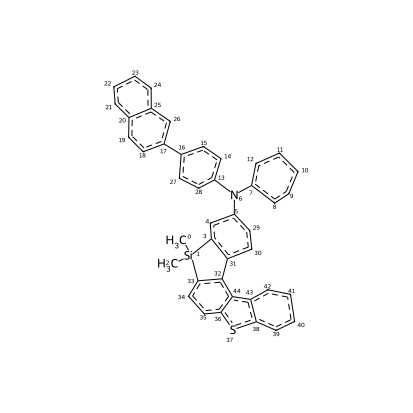 C[Si]1(C)c2cc(N(c3ccccc3)c3ccc(-c4ccc5ccccc5c4)cc3)ccc2-c2c1ccc1sc3ccccc3c21